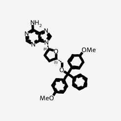 COc1ccc(C(OC[C@@H]2CC[C@H](n3cnc4c(N)ncnc43)O2)(C2=CCC(OC)C=C2)c2ccccc2)cc1